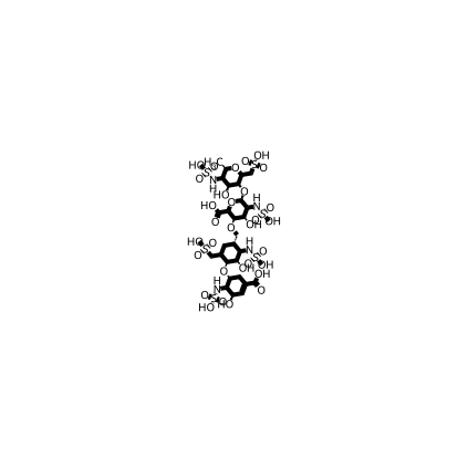 C[C@@H]1OC(CS(=O)(=O)O)[C@@H](O[C@@H]2OC(C(=O)O)[C@@H](OC[C@H]3CC(CS(=O)(=O)O)[C@@H](O[C@@H]4CC(C(=O)O)=C[C@@H](O)C4NS(=O)(=O)O)[C@@H](O)C3NS(=O)(=O)O)[C@@H](O)C2NS(=O)(=O)O)[C@@H](O)C1NS(=O)(=O)O